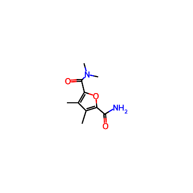 Cc1c(C(N)=O)oc(C(=O)N(C)C)c1C